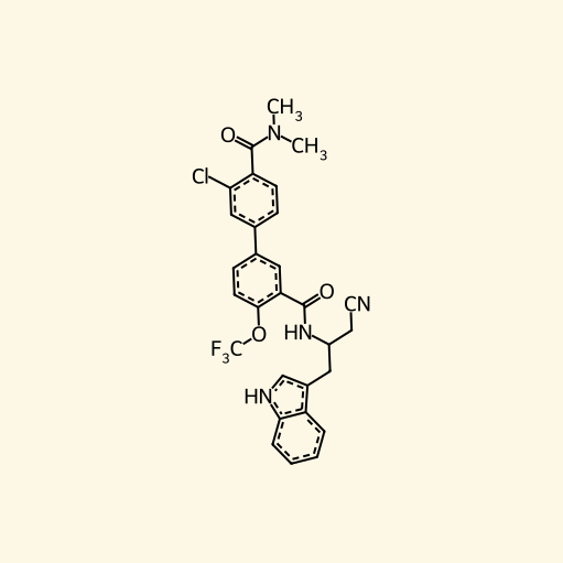 CN(C)C(=O)c1ccc(-c2ccc(OC(F)(F)F)c(C(=O)NC(CC#N)Cc3c[nH]c4ccccc34)c2)cc1Cl